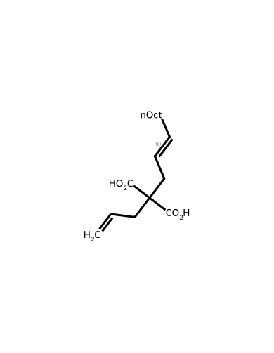 C=CCC(C/C=C/CCCCCCCC)(C(=O)O)C(=O)O